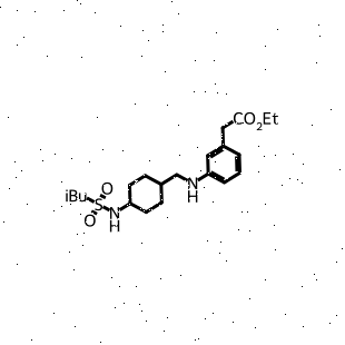 CCOC(=O)Cc1cccc(NCC2CCC(NS(=O)(=O)C(C)CC)CC2)c1